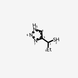 [CH2]CC(S)c1c[nH]nn1